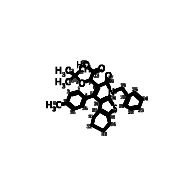 Cc1ccc(-c2c(C(OC(C)(C)C)C(=O)O)c(=O)n(Cc3ccccc3)c3sc4c(c23)CCCC4)cc1